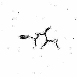 C#CC(F)NC(=C)C(=O)OC